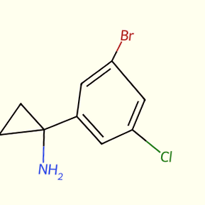 NC1(c2cc(Cl)cc(Br)c2)CC1